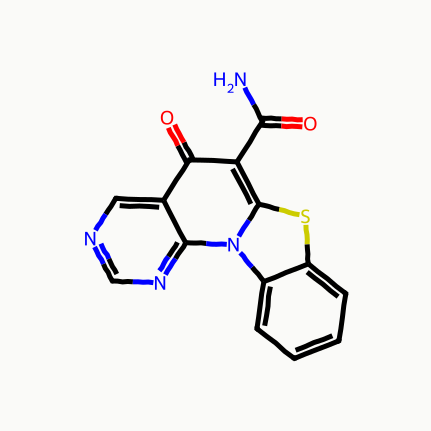 NC(=O)c1c(=O)c2cncnc2n2c1sc1ccccc12